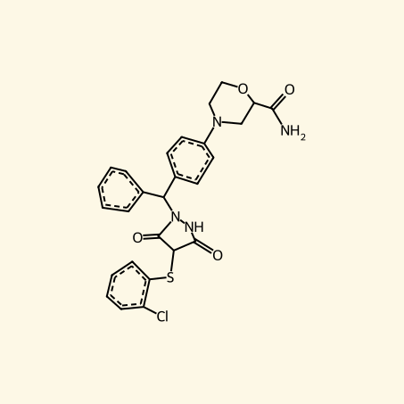 NC(=O)C1CN(c2ccc(C(c3ccccc3)N3NC(=O)C(Sc4ccccc4Cl)C3=O)cc2)CCO1